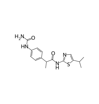 CC(C)c1cnc(NC(=O)C(C)c2ccc(NC(N)=O)cc2)s1